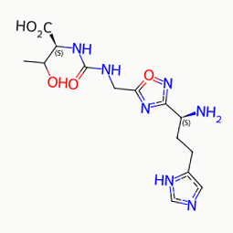 CC(O)[C@H](NC(=O)NCc1nc([C@@H](N)CCc2cnc[nH]2)no1)C(=O)O